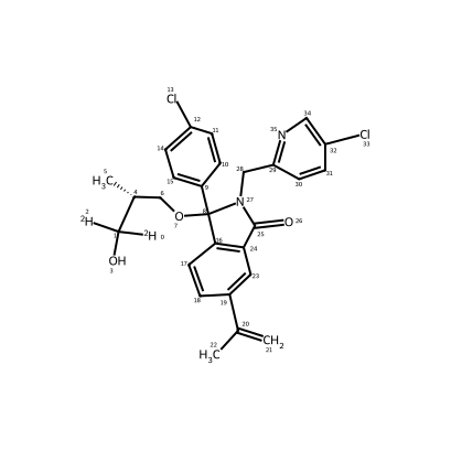 [2H]C([2H])(O)[C@H](C)COC1(c2ccc(Cl)cc2)c2ccc(C(=C)C)cc2C(=O)N1Cc1ccc(Cl)cn1